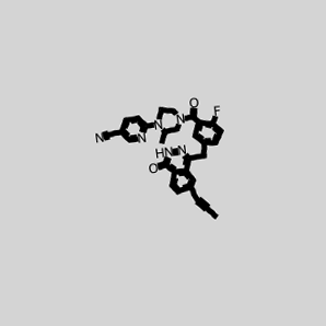 CC#Cc1ccc2c(=O)[nH]nc(Cc3ccc(F)c(C(=O)N4CCN(c5ccc(C#N)cn5)C(C)C4)c3)c2c1